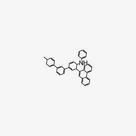 CC1C=CC(c2cccc(C3=CC(c4cc5ccccc5c5ccccc45)C(Nc4ccccc4)C=C3)c2)=CC1